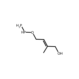 C/C(=C\COPP)CO